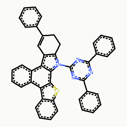 C1=C(c2ccccc2)CCc2c1c1c3ccccc3c3c4ccccc4sc3c1n2-c1nc(-c2ccccc2)nc(-c2ccccc2)n1